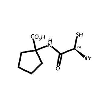 CC(C)[C@H](S)C(=O)NC1(C(=O)O)CCCC1